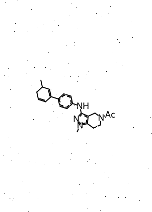 CC(=O)N1CCc2c(c(Nc3ccc(C4=CC(C)CC=C4)cc3)nn2C)C1